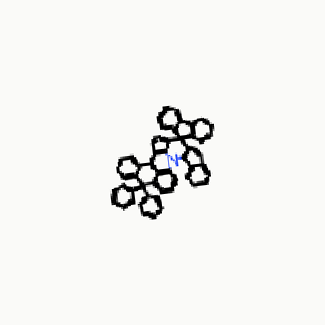 C1=CC2=C(CC1)c1ccccc1C21c2cccc3c2N(c2cccc4c2C3C2=CCCC=C2C4(c2ccccc2)c2ccccc2)c2c1ccc1ccccc21